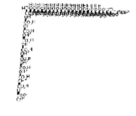 O=C(O)O.O=C(O)O.O=C(O)O.O=C(O)O.O=C(O)O.O=C(O)O.O=C(O)O.O=C(O)O.O=C(O)O.O=C(O)O.O=C(O)O.O=C(O)O.O=C(O)O.O=C(O)O.O=C(O)O.O=C(O)O.O=C(O)O.O=C(O)O.O=C(O)O.O=C(O)O.O=C(O)O.O=C(O)O.O=C(O)O.O=C(O)O.O=C(O)O.O=C(O)O.O=C(O)O.O=C(O)O.O=C([O-])[O-].O=C([O-])[O-].O=C([O-])[O-].O=C([O-])[O-].[Ca+2].[Ca+2].[Ca+2].[Ca+2]